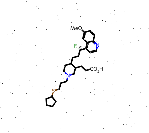 COc1ccc2nccc([C@@H](F)CCC3CCN(CCCSC4CCCC4)CC3CCC(=O)O)c2c1